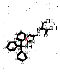 CCC(=NOc1csc(NC(c2ccccc2)(c2ccccc2)c2ccccc2)n1)C(=O)O